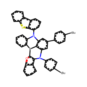 CC(C)(C)c1ccc(-c2cc3c4c(c2)N(c2cccc5c2sc2ccccc25)c2ccccc2B4c2oc4ccccc4c2N3c2ccc(C(C)(C)C)cc2)cc1